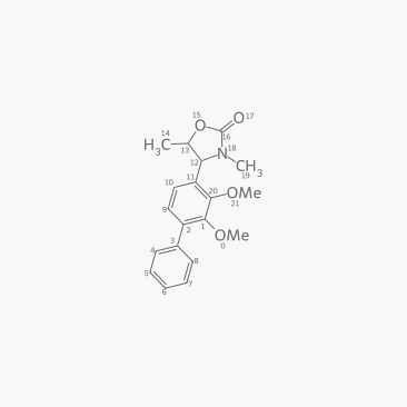 COc1c(-c2ccccc2)ccc(C2C(C)OC(=O)N2C)c1OC